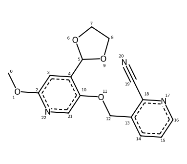 COc1cc(C2OCCO2)c(OCc2cccnc2C#N)cn1